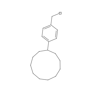 ClCc1ccc(C2CCCCCCCCCC2)cc1